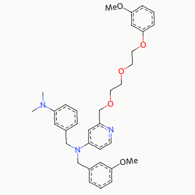 COc1cccc(CN(Cc2cccc(N(C)C)c2)c2ccnc(COCCOCCOc3cccc(OC)c3)c2)c1